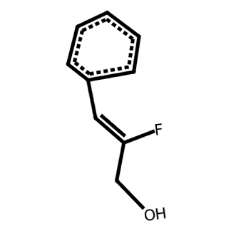 OC/C(F)=C/c1ccccc1